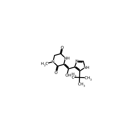 CN1CC(=O)N/C(=C(/O)c2nc[nH]c2C(C)(C)C)C1=O